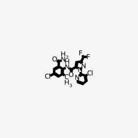 Cc1cc(Cl)cc(C(N)=O)c1NC(=O)c1cc(C(F)F)nn1-c1ncccc1Cl